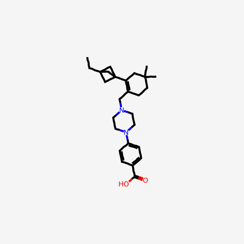 CCC12CC(C3=C(CN4CCN(c5ccc(C(=O)O)cc5)CC4)CCC(C)(C)C3)(C1)C2